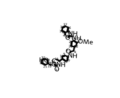 COc1cc(CC(=O)Nc2ccc(C(CC(=O)O)NC(=O)OCc3ccccc3)cc2)ccc1NC(=O)Nc1ccccc1C